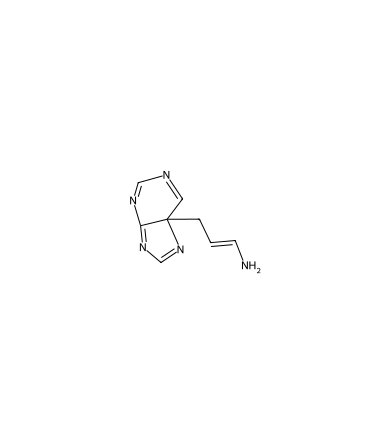 NC=CCC12C=NC=NC1=NC=N2